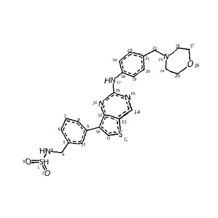 O=[SH](=O)NCc1cccc(-c2csc3cnc(Nc4ccc(CN5CCOCC5)cc4)nc23)c1